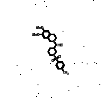 COc1cc2c(cc1OC)CN(CC1CCCN(S(=O)(=O)c3ccc(C)cc3)C1)CC2.Cl